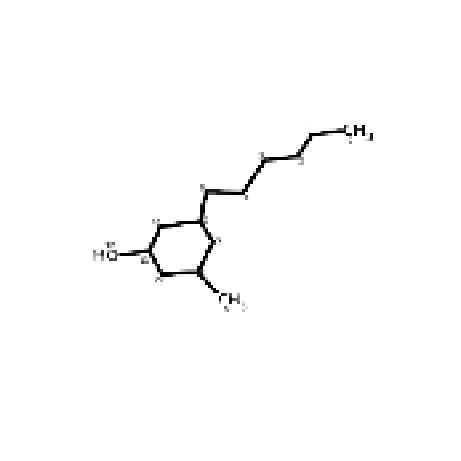 CCCCCCC1CC(C)CC(O)C1